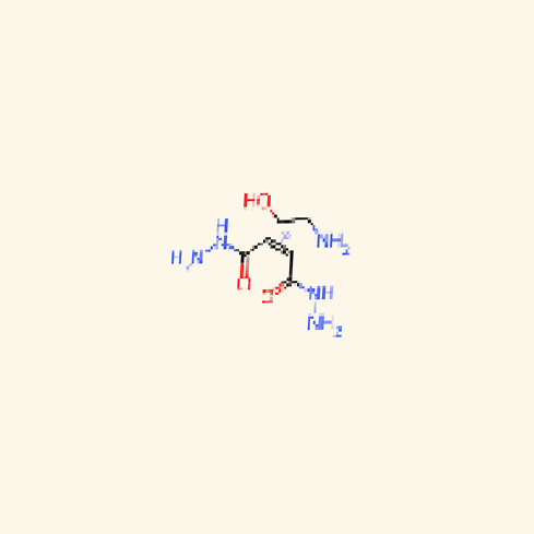 NCCO.NNC(=O)/C=C\C(=O)NN